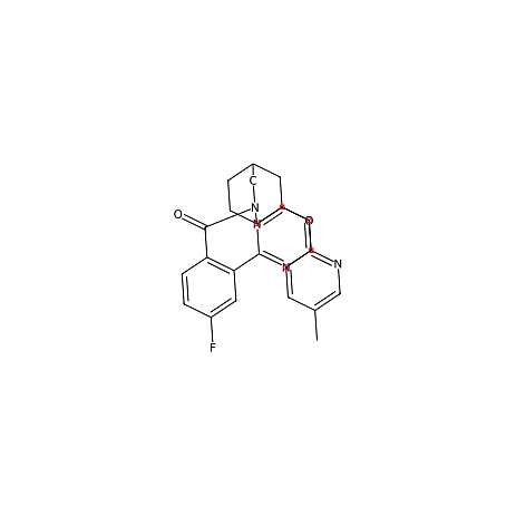 Cc1ccc(OC2CC3CCC2N(C(=O)c2ccc(F)cc2-c2ncccn2)C3)nc1